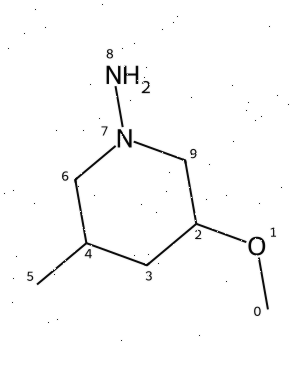 COC1CC(C)CN(N)C1